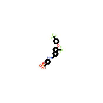 O=P(O)(O)Cc1ccc(NCc2ccc3c(C(F)(F)F)c(OC4CCC(C(F)(F)F)CC4)ccc3c2)cc1